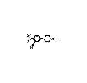 CN1CCN(c2ccc([N+](=O)[O-])c(C#N)c2)CC1